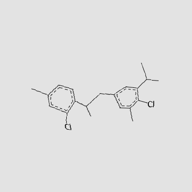 Cc1ccc(C(C)Cc2cc(C)c(Cl)c(C(C)C)c2)c(Cl)c1